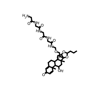 CCCC1OC2CC3C4CCC5=CC(=O)C=CC5(C)C4C(O)CC3(C)C2(C(=O)COCNC(=O)CNC(=O)CNC(=O)CNC(=O)CN)O1